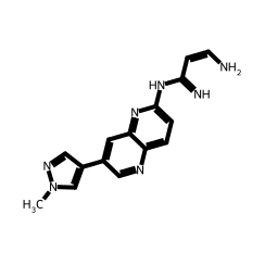 Cn1cc(-c2cnc3ccc(NC(=N)/C=C\N)nc3c2)cn1